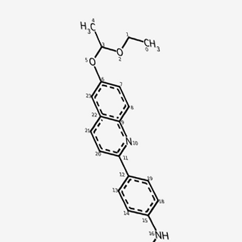 CCOC(C)Oc1ccc2nc(-c3ccc(NC)cc3)ccc2c1